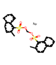 Cc1ccc2ccccc2c1S(=O)(=O)OCOS(=O)(=O)c1c(C)ccc2ccccc12.[Na]